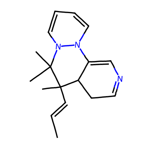 CC=CC1(C)C2CC=NC=C2N2C=CC=CN2C1(C)C